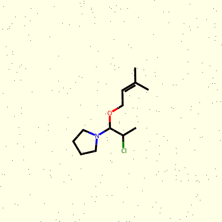 CC(C)=CCOC(C(C)Cl)N1CCCC1